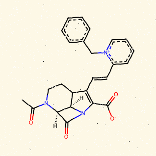 CC(=O)N1CCC2C(/C=C/c3cccc[n+]3Cc3ccccc3)=C(C(=O)[O-])N3C(=O)[C@@H]1[C@@H]23